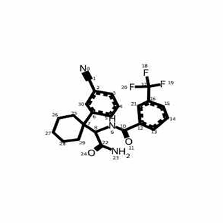 N#Cc1cccc(C2(C(NC(=O)c3cccc(C(F)(F)F)c3)C(N)=O)CCCCC2)c1